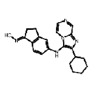 O/N=C1\CCc2cc(Nc3c(C4CCCCC4)nc4cnccn34)ccc21